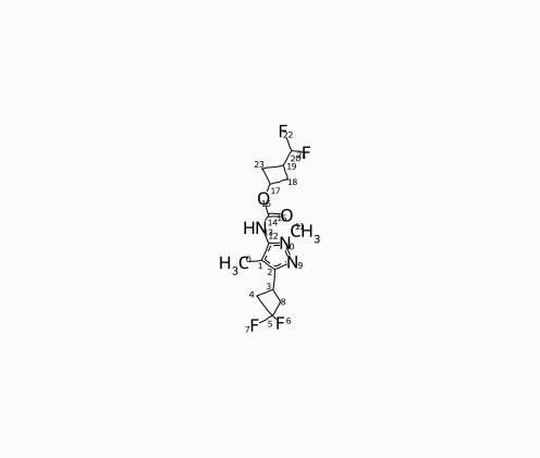 Cc1c(C2CC(F)(F)C2)nn(C)c1NC(=O)OC1CC(C(F)F)C1